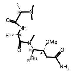 CC[C@H](C)[C@@H]([C@@H](CC(N)=O)OC)N(C)C(=O)[C@@H](NC(=O)[C@H](C)N(C)C)C(C)C